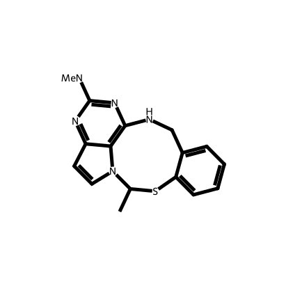 CNc1nc2c3c(ccn3C(C)Sc3ccccc3CN2)n1